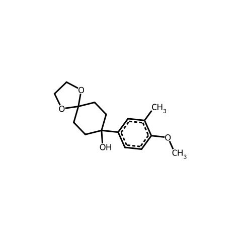 COc1ccc(C2(O)CCC3(CC2)OCCO3)cc1C